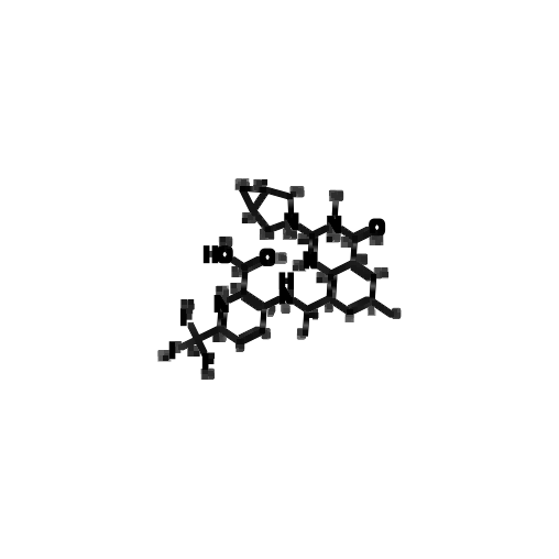 Cc1cc(C(C)Nc2ccc(C(F)(F)F)nc2C(=O)O)c2nc(N3CC4CC4C3)n(C)c(=O)c2c1